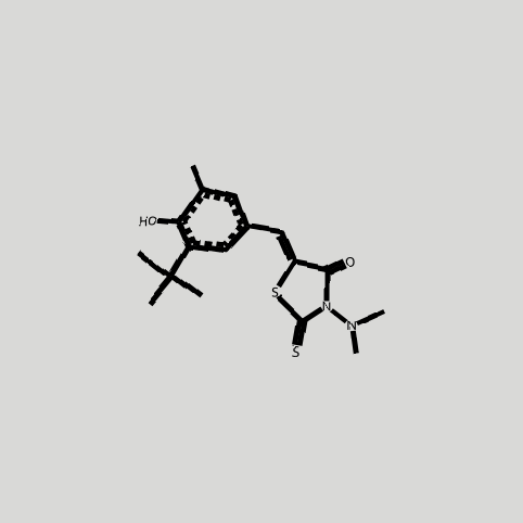 Cc1cc(/C=C2\SC(=S)N(N(C)C)C2=O)cc(C(C)(C)C)c1O